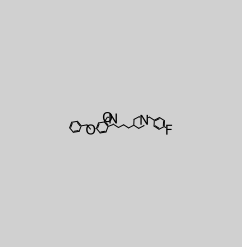 Fc1ccc(CN2CCC(CCCc3noc4cc(OCc5ccccc5)ccc34)CC2)cc1